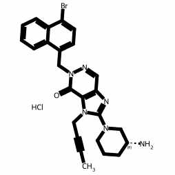 CC#CCn1c(N2CCC[C@@H](N)C2)nc2cnn(Cc3ccc(Br)c4ccccc34)c(=O)c21.Cl